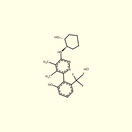 Cc1c(N[C@@H]2CCCC[C@H]2O)nnc(-c2c(O)cccc2C(F)(F)F)c1C.Cl